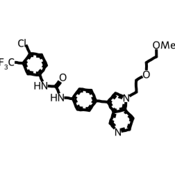 COCCOCCn1cc(-c2ccc(NC(=O)Nc3ccc(Cl)c(C(F)(F)F)c3)cc2)c2cnccc21